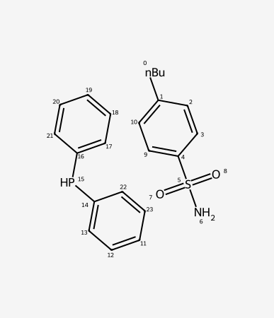 CCCCc1ccc(S(N)(=O)=O)cc1.c1ccc(Pc2ccccc2)cc1